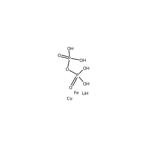 O=P(O)(O)OP(=O)(O)O.[Co].[Fe].[LiH]